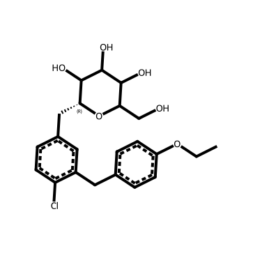 CCOc1ccc(Cc2cc(C[C@H]3OC(CO)C(O)C(O)C3O)ccc2Cl)cc1